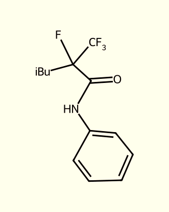 CCC(C)C(F)(C(=O)Nc1ccccc1)C(F)(F)F